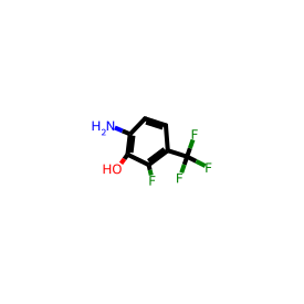 Nc1ccc(C(F)(F)F)c(F)c1O